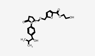 CC(C)C(O)c1ccc(N2C(=O)CC[C@H]2COCc2ccc(C(=O)OCCO)o2)cc1